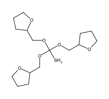 [SiH3]C(OCC1CCCO1)(OCC1CCCO1)OCC1CCCO1